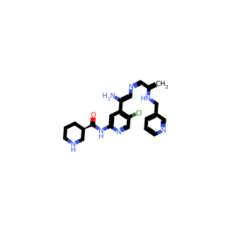 C=C(/C=N\C=C(/N)c1cc(NC(=O)[C@@H]2CCCNC2)ncc1Cl)NCc1cccnc1